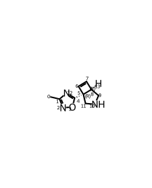 Cc1noc([C@]23C=C[C@H]2CNC3)n1